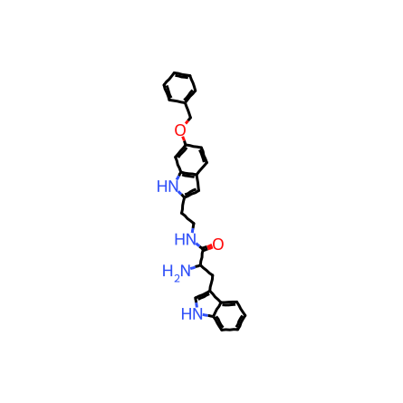 NC(Cc1c[nH]c2ccccc12)C(=O)NCCc1cc2ccc(OCc3ccccc3)cc2[nH]1